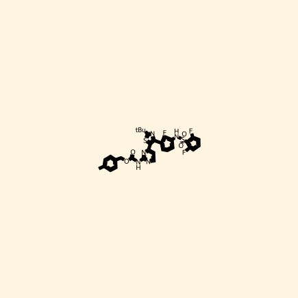 Cc1ccc(COC(=O)Nc2nccc(-c3sc(C(C)(C)C)nc3-c3cccc(NS(=O)(=O)c4c(F)cccc4F)c3F)n2)cc1